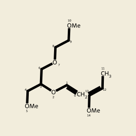 C=COC(COC)COCCOC.CC=COC